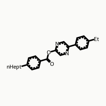 CCCCCCCc1ccc(C(=O)Oc2cnc(-c3ccc(CC)cc3)cn2)cc1